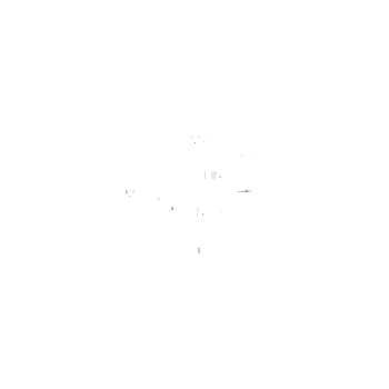 COC(=O)N[C@H](C(=O)N1C[C@H](OC)CC1C(C)C)C(C)C